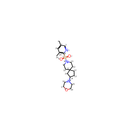 Cc1cnc(S(=O)(=O)N2CCC3(CCC(N4CCOCC4)C3)CC2)c(C)c1